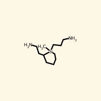 C[Si]1(CCCN)CCCCC1CCN